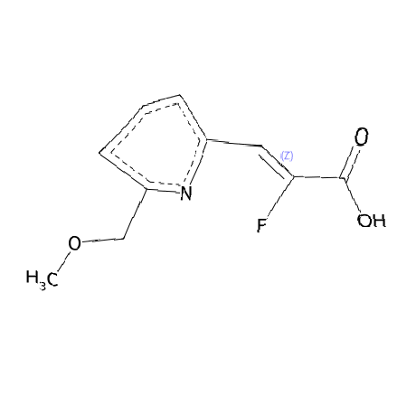 COCc1cccc(/C=C(\F)C(=O)O)n1